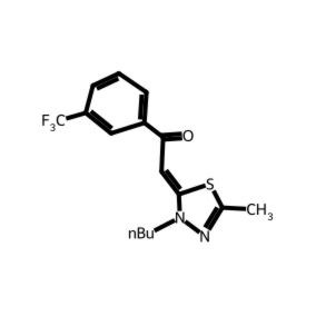 CCCCN1N=C(C)S/C1=C\C(=O)c1cccc(C(F)(F)F)c1